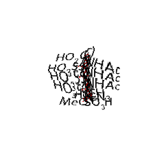 COc1ccc2c(nc3c(C#N)c(C)c(N=Nc4cc(NC(C)=O)c(N=Nc5cc(NC(C)=O)c(N=Nc6cc(NC(C)=O)c(N=Nc7ccc(Cl)c(C(=O)O)c7)cc6SCCCS(=O)(=O)O)cc5SCCCS(=O)(=O)O)cc4OCCCS(=O)(=O)O)c(O)n32)c1S(=O)(=O)O